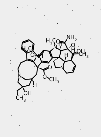 CC[C@@]1(O)C[C@@H]2CN(CCc3c([nH]c4ccccc34)[C@](C(=O)OC)(c3cc4c(cc3OC)N(C)[C@@H]3[C@]45CCN4CC=C[C@@](CC)(C(O)[C@]3(O)C(N)=O)[C@H]45)C2)C1